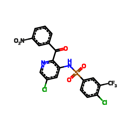 O=C(c1cccc([N+](=O)[O-])c1)c1ncc(Cl)cc1NS(=O)(=O)c1ccc(Cl)c(C(F)(F)F)c1